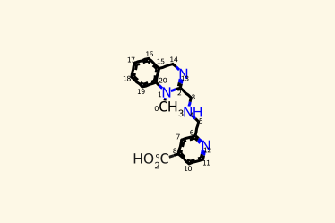 CN1C(CNCc2cc(C(=O)O)ccn2)=NCc2ccccc21